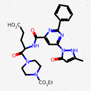 CCOC(=O)N1CCN(C(=O)C(CCC(=O)O)NC(=O)c2cc(-n3[nH]c(C)cc3=O)nc(-c3ccccc3)n2)CC1